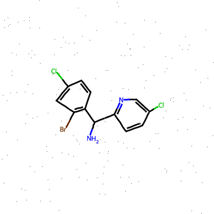 NC(c1ccc(Cl)cn1)c1ccc(Cl)cc1Br